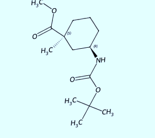 COC(=O)[C@@]1(C)CCC[C@@H](NC(=O)OC(C)(C)C)C1